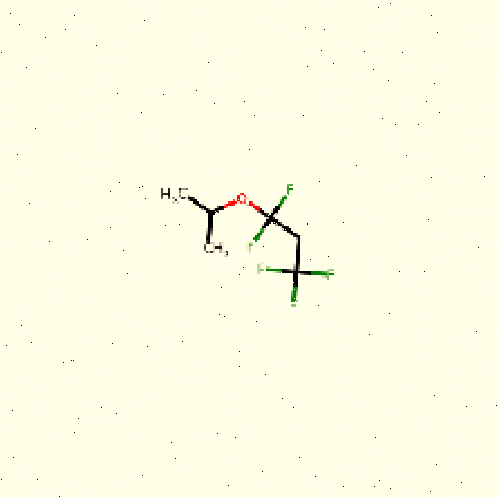 CC(C)OC(F)(F)CC(F)(F)F